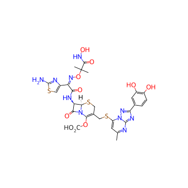 Cc1cc(SCC2=C(OC(=O)O)N3C(=O)[C@@H](NC(=O)/C(=N\OC(C)(C)C(=O)NO)c4csc(N)n4)[C@H]3SC2)n2nc(-c3ccc(O)c(O)c3)nc2n1